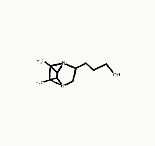 CC1C(C)N2CCN1CC2CCCO